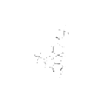 CC(C)(C)OC(=O)N1CCC2(CC1)Oc1cc(F)ccc1[C@H]2N[S@+]([O-])C(C)(C)C